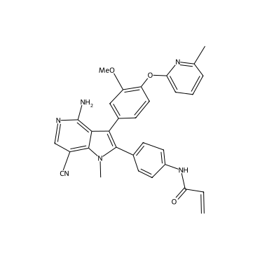 C=CC(=O)Nc1ccc(-c2c(-c3ccc(Oc4cccc(C)n4)c(OC)c3)c3c(N)ncc(C#N)c3n2C)cc1